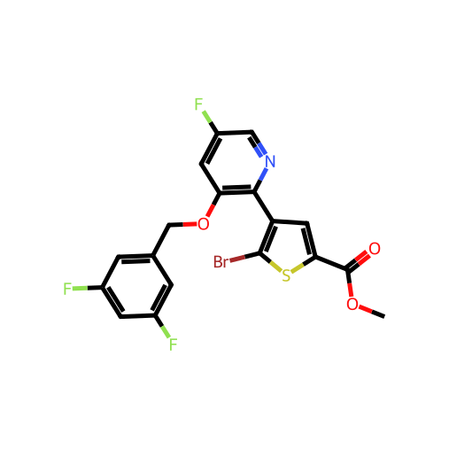 COC(=O)c1cc(-c2ncc(F)cc2OCc2cc(F)cc(F)c2)c(Br)s1